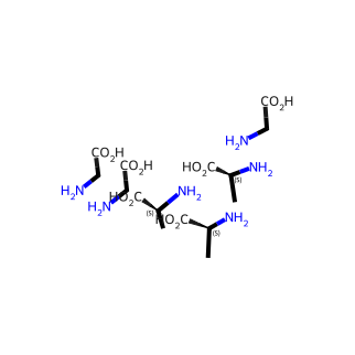 C[C@H](N)C(=O)O.C[C@H](N)C(=O)O.C[C@H](N)C(=O)O.NCC(=O)O.NCC(=O)O.NCC(=O)O